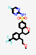 COCCc1cc(C(F)(F)F)ccc1C1CCOc2cc(S(=O)(=O)Nc3ncc(F)cn3)ccc21